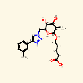 Cc1cccc(-c2cn(CC3OC(OCCCCC(=O)O)C(C)C(O)C3O)nn2)c1